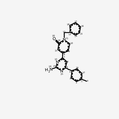 Cc1ccc(-c2cc(-c3ccn(Cc4ccccc4)c(=O)c3)nc(N)n2)cc1